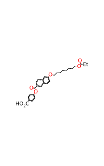 CCC(=O)OCCCCCCCCOc1ccc2cc(C(=O)Oc3ccc(C(=O)O)cc3)ccc2c1